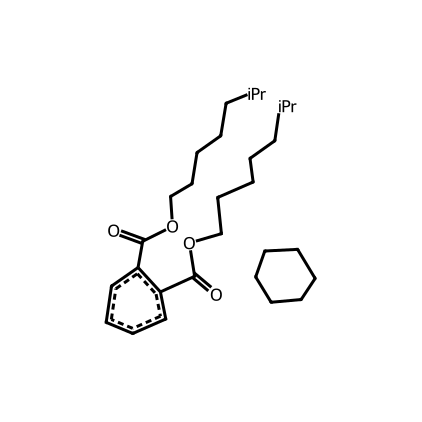 C1CCCCC1.CC(C)CCCCCOC(=O)c1ccccc1C(=O)OCCCCCC(C)C